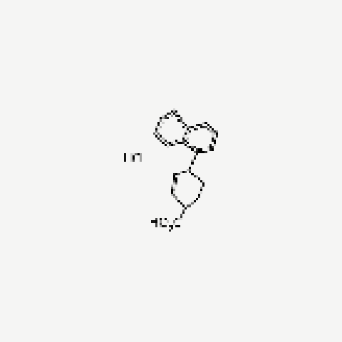 Cl.O=C(O)C1C=CC(c2cccc3ccccc23)CC1